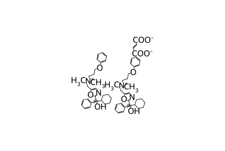 C[N+](C)(CCCOc1ccccc1)Cc1cnc([C@](O)(c2ccccc2)C2CCCCC2)o1.C[N+](C)(CCCOc1ccccc1)Cc1cnc([C@](O)(c2ccccc2)C2CCCCC2)o1.O=C([O-])C=CC(=O)[O-]